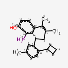 C/C(CCc1cc(C)ccc1C1CCC1)=C(\C)c1ccc(O)c(P)c1